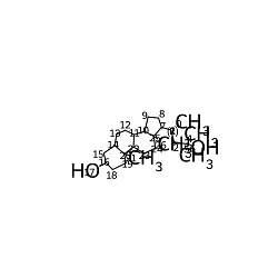 C[C@H](CC(C)(C)O)C1CCC2C3CCC4CC(O)CCC4(C)C3CCC21C